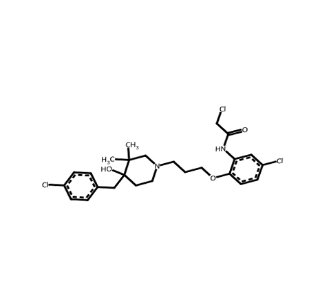 CC1(C)CN(CCCOc2ccc(Cl)cc2NC(=O)CCl)CCC1(O)Cc1ccc(Cl)cc1